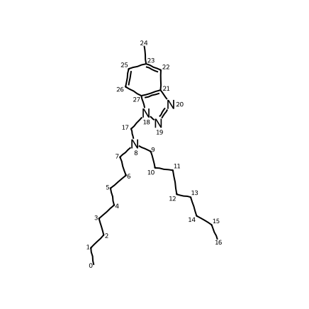 CCCCCCCCN(CCCCCCCC)Cn1nnc2cc(C)ccc21